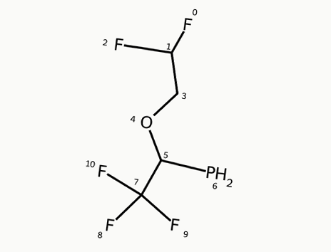 FC(F)COC(P)C(F)(F)F